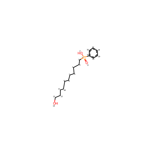 O=P(O)(CCCCCCCCCCCO)c1ccccc1